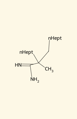 CCCCCCCCC(C)(CCCCCCC)C(=N)N